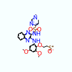 C=N/C=N\C(=C/C)S(=O)(=O)Nc1nc2ccccc2nc1Nc1cc(OC)cc(OC)c1OCC[S+](C)[O-]